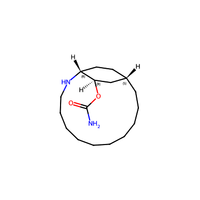 NC(=O)O[C@@H]1C[C@H]2CCCCCCCCCCN[C@@H]1CC2